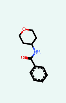 O=C(NC1CCOCC1)c1cc[c]cc1